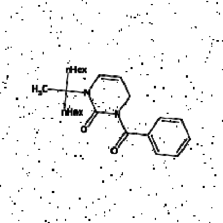 CCCCCCC(C)(CCCCCC)N1C=CCN(C(=O)c2ccccc2)C1=O